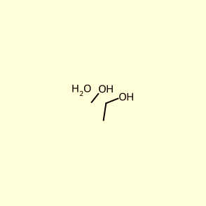 CCO.CO.O